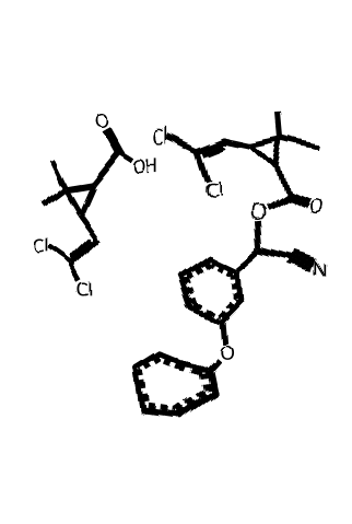 CC1(C)C(C=C(Cl)Cl)C1C(=O)O.CC1(C)C(C=C(Cl)Cl)C1C(=O)OC(C#N)c1cccc(Oc2ccccc2)c1